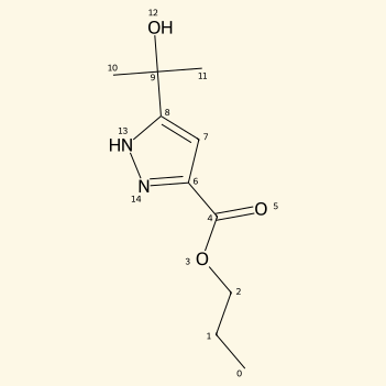 CCCOC(=O)c1cc(C(C)(C)O)[nH]n1